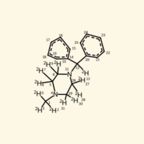 [2H]C([2H])([2H])N1C([2H])([2H])C([2H])([2H])N(C([2H])(c2ccccc2)c2ccccc2)C([2H])([2H])C1([2H])[2H]